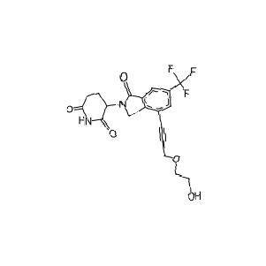 O=C1CCC(N2Cc3c(C#CCOCCO)cc(C(F)(F)F)cc3C2=O)C(=O)N1